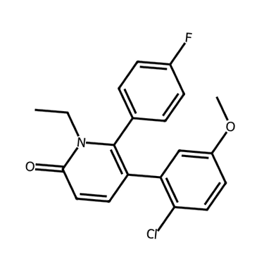 CCn1c(-c2ccc(F)cc2)c(-c2cc(OC)ccc2Cl)ccc1=O